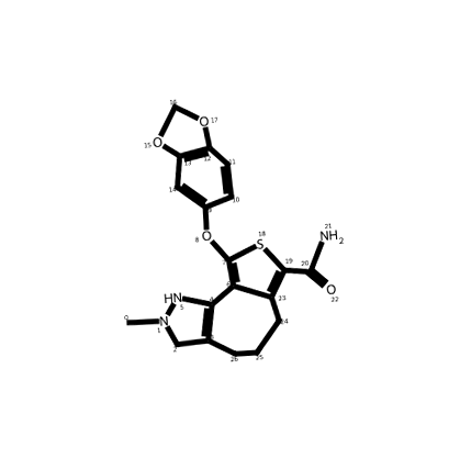 CN1CC2=C(N1)c1c(Oc3ccc4c(c3)OCO4)sc(C(N)=O)c1CCC2